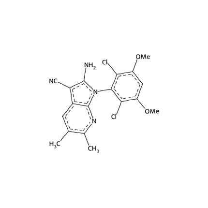 COc1cc(OC)c(Cl)c(-n2c(N)c(C#N)c3cc(C)c(C)nc32)c1Cl